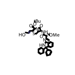 CON=C(C(=O)NC1C(=O)N2C(C(=O)OC(C)(C)C)=C(/C=C/CO)SCC12)c1csc(NC(c2ccccc2)(c2ccccc2)c2ccccc2)n1